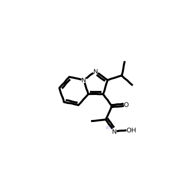 C/C(=N/O)C(=O)c1c(C(C)C)nn2ccccc12